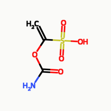 C=C(OC(N)=O)S(=O)(=O)O